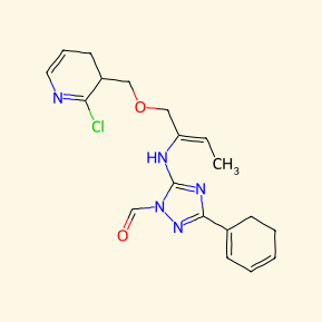 C/C=C(/COCC1CC=CN=C1Cl)Nc1nc(C2=CC=CCC2)nn1C=O